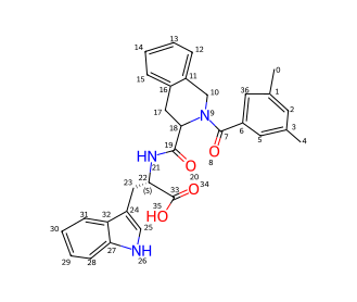 Cc1cc(C)cc(C(=O)N2Cc3ccccc3CC2C(=O)N[C@@H](Cc2c[nH]c3ccccc23)C(=O)O)c1